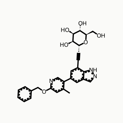 Cc1cc(OCc2ccccc2)ncc1-c1cc(C#C[C@H]2O[C@H](CO)[C@@H](O)[C@H](O)[C@@H]2O)c2[nH]ncc2c1